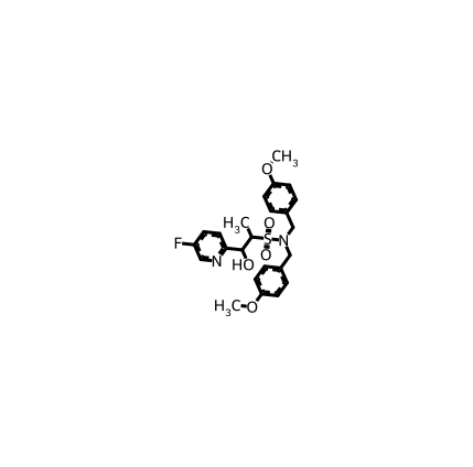 COc1ccc(CN(Cc2ccc(OC)cc2)S(=O)(=O)C(C)C(O)c2ccc(F)cn2)cc1